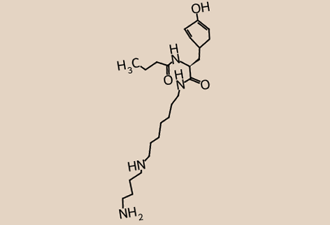 CCCC(=O)N[C@@H](CC1C=CC(O)=CC1)C(=O)NCCCCCCCNCCCCN